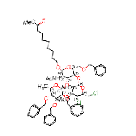 COC(=O)CCCCCCCCO[C@@H]1O[C@H](COCc2ccccc2)[C@@H](O[C@@H]2O[C@H](CCl)[C@H](Cl)[C@H](OC(C)=O)[C@H]2OC(C)=O)[C@H](O[C@@H]2O[C@@H](C)[C@@H](OCc3ccccc3)[C@@H](OCc3ccccc3)[C@@H]2OCc2ccccc2)[C@H]1NC(C)=O